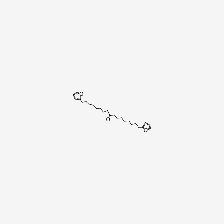 O=C(CCCCCCCCc1ccco1)CCCCCCCCc1ccco1